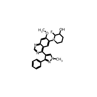 COc1cc2ncnc(-c3cn(C)nc3-c3ccccc3)c2cc1N1CCCC(O)C1F